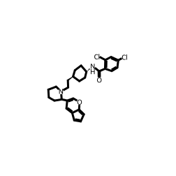 O=C(N[C@H]1CC[C@H](CCN2CCCCC2c2coc3cccc-3c2)CC1)c1ccc(Cl)cc1Cl